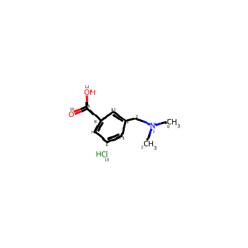 CN(C)Cc1cccc(C(=O)O)c1.Cl